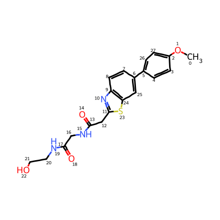 COc1ccc(-c2ccc3nc(CC(=O)NCC(=O)NCCO)sc3c2)cc1